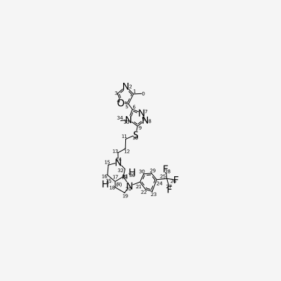 Cc1ncoc1-c1nnc(SCCCN2CC[C@@H]3CCN(c4ccc(C(F)(F)F)cc4)[C@@H]3C2)n1C